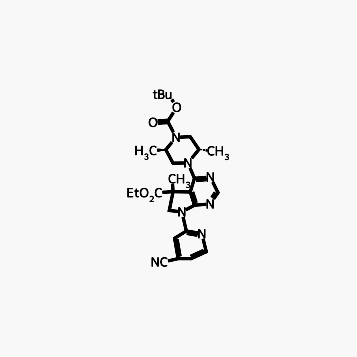 CCOC(=O)C1(C)CN(c2cc(C#N)ccn2)c2ncnc(N3C[C@@H](C)N(C(=O)OC(C)(C)C)C[C@@H]3C)c21